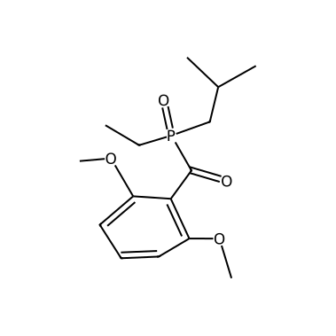 CCP(=O)(CC(C)C)C(=O)c1c(OC)cccc1OC